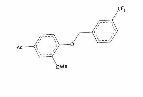 COc1cc(C(C)=O)ccc1OCc1cccc(C(F)(F)F)c1